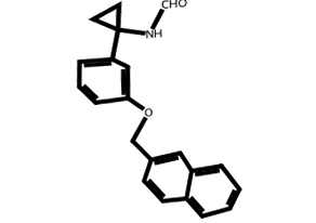 O=CNC1(c2cccc(OCc3ccc4ccccc4c3)c2)CC1